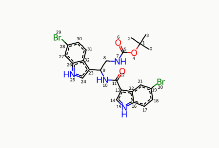 CC(C)(C)OC(=O)NCC(NC(=O)c1c[nH]c2ccc(Br)cc12)c1c[nH]c2cc(Br)ccc12